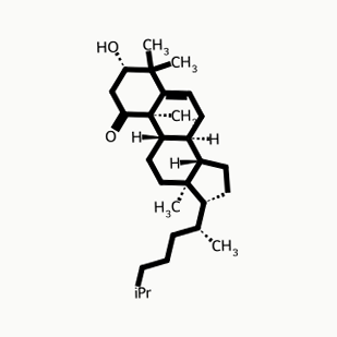 CC(C)CCC[C@@H](C)[C@H]1CC[C@H]2[C@@H]3CC=C4C(C)(C)[C@@H](O)CC(=O)[C@]4(C)[C@H]3CC[C@]12C